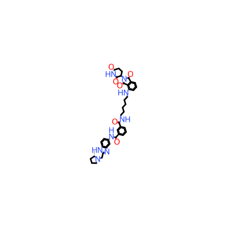 C[C@H]1CCCN1Cc1nc2cc(NC(=O)c3cccc(C(=O)NCCCCCCNc4cccc5c4C(=O)N(C4CCC(=O)NC4=O)C5=O)c3)ccc2[nH]1